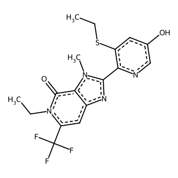 CCSc1cc(O)cnc1-c1nc2cc(C(F)(F)F)n(CC)c(=O)c2n1C